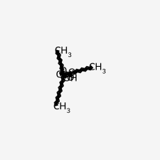 CCCCCCCCCCCCC(O)(CC(=O)OCCCCCCCC)C(=O)OCCCCCCCC